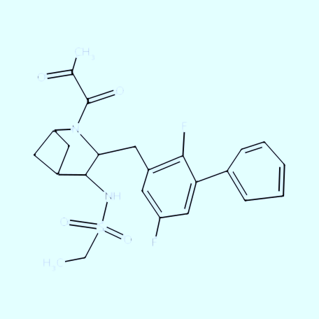 CCS(=O)(=O)NC1C2CC(C2)N(C(=O)C(C)=O)C1Cc1cc(F)cc(-c2ccccc2)c1F